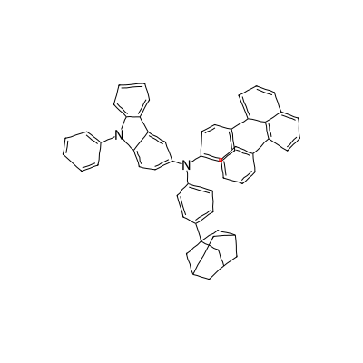 c1ccc(-c2cccc3cccc(-c4ccc(N(c5ccc(C67CC8CC(CC(C8)C6)C7)cc5)c5ccc6c(c5)c5ccccc5n6-c5ccccc5)cc4)c23)cc1